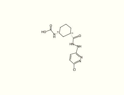 O=C(O)N[C@@H]1CCC[C@H](C(=O)NNc2ccc(Cl)nn2)C1